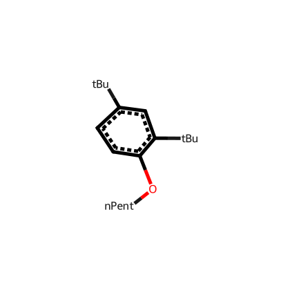 [CH2]CCCCOc1ccc(C(C)(C)C)cc1C(C)(C)C